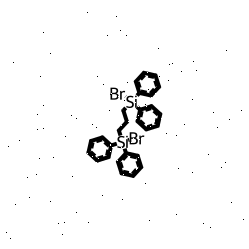 Br[Si](CCC[Si](Br)(c1ccccc1)c1ccccc1)(c1ccccc1)c1ccccc1